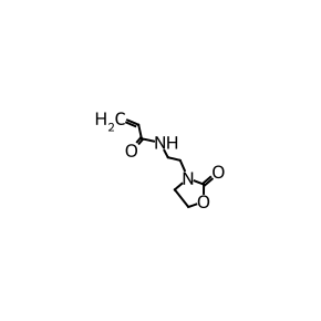 C=CC(=O)NCCN1CCOC1=O